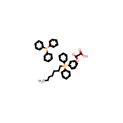 O=C([O-])C(=O)O.[CH2]CCCCCC[P+](c1ccccc1)(c1ccccc1)c1ccccc1.c1ccc(P(c2ccccc2)c2ccccc2)cc1